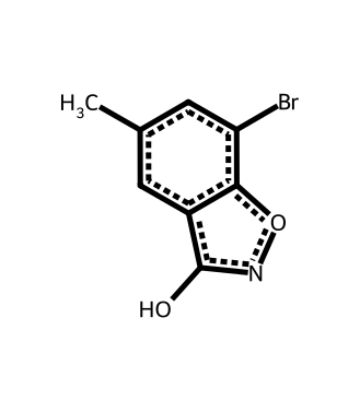 Cc1cc(Br)c2onc(O)c2c1